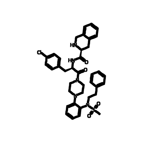 CS(=O)(=O)N(CCc1ccccc1)c1ccccc1N1CCN(C(=O)[C@@H](Cc2ccc(Cl)cc2)NC(=O)[C@@H]2Cc3ccccc3CN2)CC1